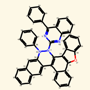 c1ccc(-c2nc(N3c4c(c5ccccc5c5oc6ccccc6c45)-c4cc5ccccc5cc4N3c3ccccc3)nc3ccccc23)cc1